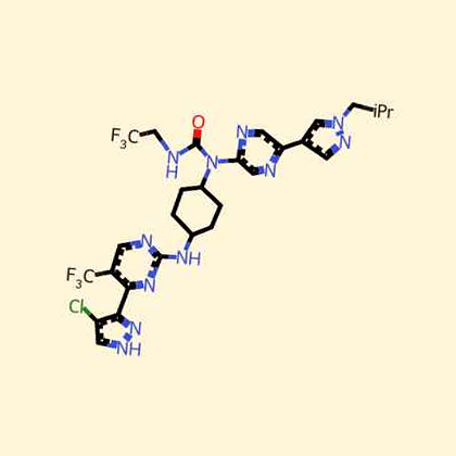 CC(C)Cn1cc(-c2cnc(N(C(=O)NCC(F)(F)F)C3CCC(Nc4ncc(C(F)(F)F)c(-c5n[nH]cc5Cl)n4)CC3)cn2)cn1